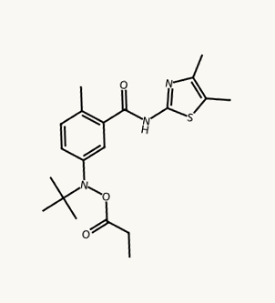 CCC(=O)ON(c1ccc(C)c(C(=O)Nc2nc(C)c(C)s2)c1)C(C)(C)C